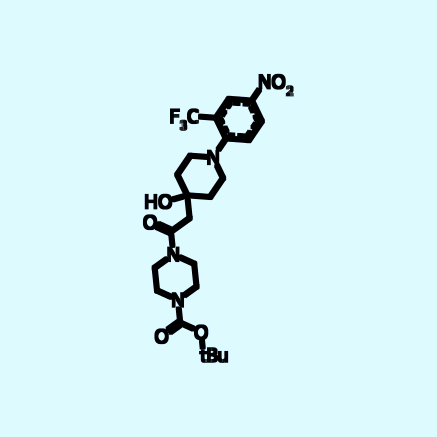 CC(C)(C)OC(=O)N1CCN(C(=O)CC2(O)CCN(c3ccc([N+](=O)[O-])cc3C(F)(F)F)CC2)CC1